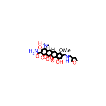 COc1c(CNCC2CCOC2)cc(O)c2c1C[C@H]1C[C@H]3[C@H](N(C)C)C(O)=C(C(N)=O)C(=O)[C@@]3(O)C(O)=C1C2=O